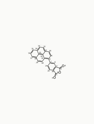 O=C1OC(=O)c2cc(-c3ccc4ccc5cccc6ccc3c4c56)ccc21